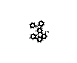 N#Cc1cccc(C#N)c1-c1cc2c3ccccc3n(-c3ccccc3)c2cc1-n1c2ccccc2c2ccccc21